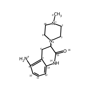 CN1CCN(C2Cc3c(N)cccc3NC2=O)CC1